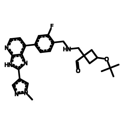 Cn1cc(-c2nc3c(-c4ccc(CNCC5(C=O)CC(OC(C)(C)C)C5)c(F)c4)ccnc3[nH]2)cn1